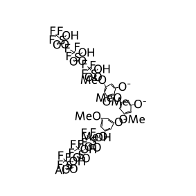 COc1cc([O-])cc(OC)c1.COc1cc([O-])cc(OC)c1.COc1cc([O-])cc(OC)c1.O=S(=O)(O)C(F)(F)F.O=S(=O)(O)C(F)(F)F.O=S(=O)(O)C(F)(F)F.O=S(=O)(O)C(F)(F)F.O=S(=O)(O)C(F)(F)F.O=S(=O)(O)C(F)(F)F.[Al+3]